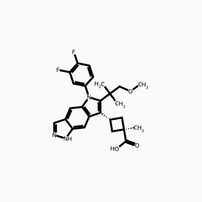 COCC(C)(C)c1c([C@H]2C[C@](C)(C(=O)O)C2)c2cc3[nH]ncc3cc2n1-c1ccc(F)c(F)c1